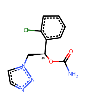 NC(=O)O[C@@H](Cn1ccnn1)c1ccccc1Cl